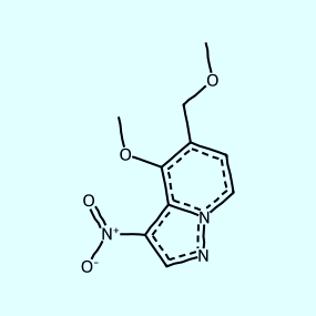 COCc1ccn2ncc([N+](=O)[O-])c2c1OC